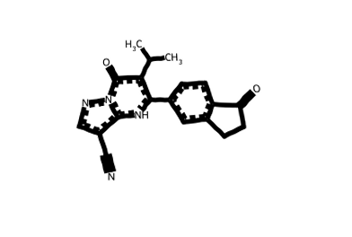 CC(C)c1c(-c2ccc3c(c2)CCC3=O)[nH]c2c(C#N)cnn2c1=O